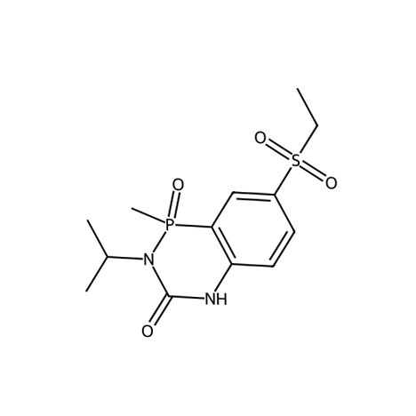 CCS(=O)(=O)c1ccc2c(c1)P(C)(=O)N(C(C)C)C(=O)N2